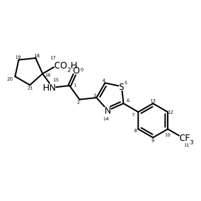 O=C(Cc1csc(-c2ccc(C(F)(F)F)cc2)n1)NC1(C(=O)O)CCCC1